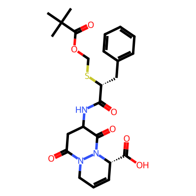 CC(C)(C)C(=O)OCS[C@H](Cc1ccccc1)C(=O)NC1CC(=O)N2CC=C[C@@H](C(=O)O)N2C1=O